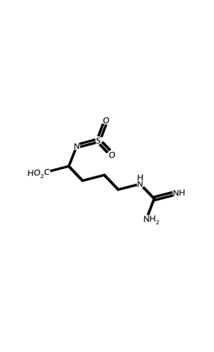 N=C(N)NCCCC(N=S(=O)=O)C(=O)O